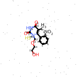 CC1=C(c2ccccc2[N+](=O)[O-])[N+](S)(COCCO)C(=O)NC1=O